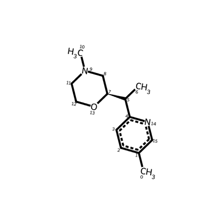 Cc1ccc(C(C)[C@@H]2CN(C)CCO2)nc1